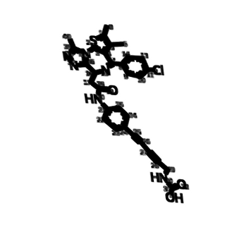 Cc1sc2c(c1C)C(c1ccc(Cl)cc1)=NC(CC(=O)Nc1ccc(C#CC#CCNC(=O)O)cc1)c1nnc(C)n1-2